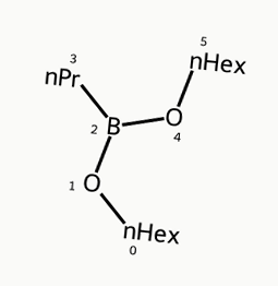 CCCCCCOB(CCC)OCCCCCC